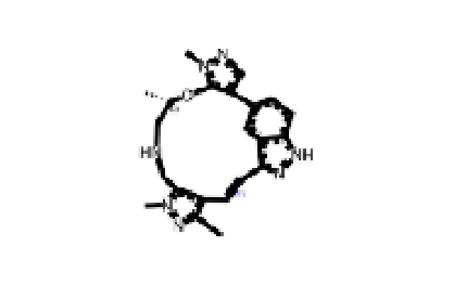 Cc1nn(C)c2c1/C=C/c1n[nH]c3ccc(cc13)-c1cnn(C)c1O[C@@H](C)CNC2